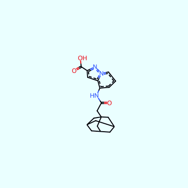 O=C(CC12CC3CC(CC(C3)C1)C2)Nc1cccn2nc(C(=O)O)cc12